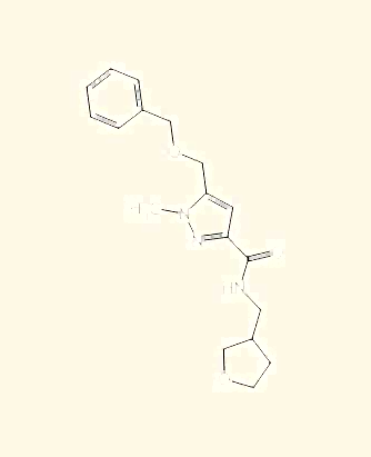 Cn1nc(C(=O)NCC2CCOC2)cc1COCc1ccccc1